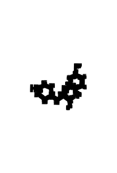 Cc1nc2ccc(F)cc2nc1CN1CCNCC1